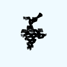 COc1cc(C(=O)NC[C@@](O)(c2cccc(F)c2)c2cc(C(C)(C)O)c(F)c(-c3ccc4c(c3Cl)OC(F)(F)O4)n2)cc2cn(C3CC3)nc12